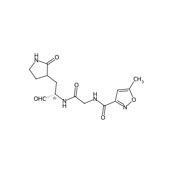 Cc1cc(C(=O)NCC(=O)N[C@H](C=O)CC2CCNC2=O)no1